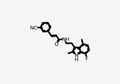 Cc1[nH]c2c(F)ccc(C)c2c1CCNC(=O)/C=C/c1cccc(C#N)c1